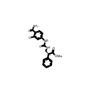 COC(=O)[C@H](CNC(=O)Nc1ccc(C(N)=O)c(Cl)c1)c1ccccc1